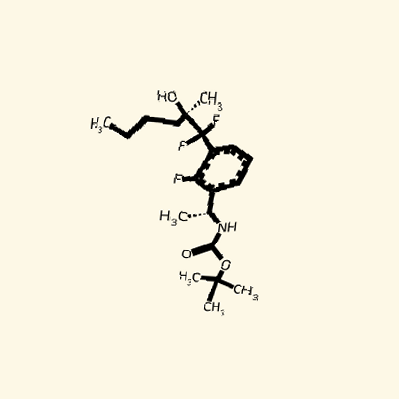 CCCC[C@@](C)(O)C(F)(F)c1cccc([C@@H](C)NC(=O)OC(C)(C)C)c1F